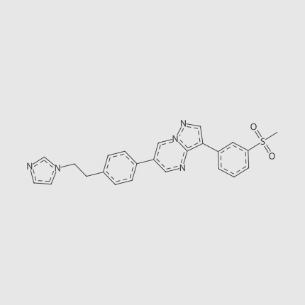 CS(=O)(=O)c1cccc(-c2cnn3cc(-c4ccc(CCn5ccnc5)cc4)cnc23)c1